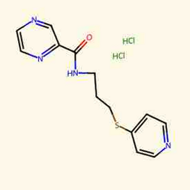 Cl.Cl.O=C(NCCCSc1ccncc1)c1cnccn1